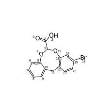 O=C(O)C1Oc2ccccc2Cc2ccc(Br)cc2O1